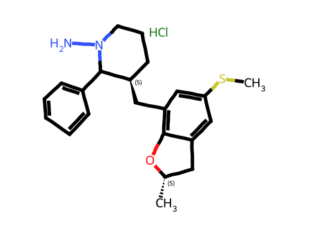 CSc1cc(C[C@@H]2CCCN(N)C2c2ccccc2)c2c(c1)C[C@H](C)O2.Cl